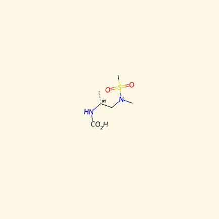 C[C@H](CN(C)S(C)(=O)=O)NC(=O)O